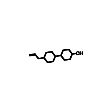 C=CCC1CCC(C2CCC(O)CC2)CC1